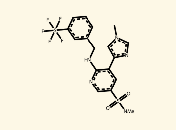 CNS(=O)(=O)c1cnc(NCc2cccc(S(F)(F)(F)(F)F)c2)c(-c2cn(C)cn2)c1